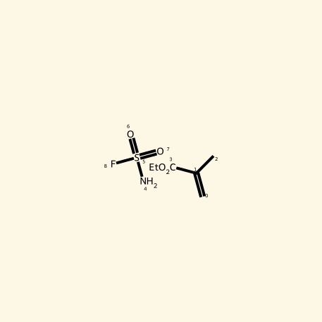 C=C(C)C(=O)OCC.NS(=O)(=O)F